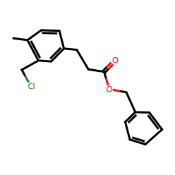 Cc1ccc(CCC(=O)OCc2ccccc2)cc1CCl